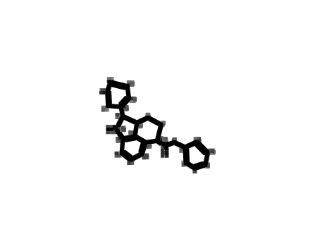 c1ccc(CNC2CCC3c4c(cccc42)NC3c2ccccc2)cc1